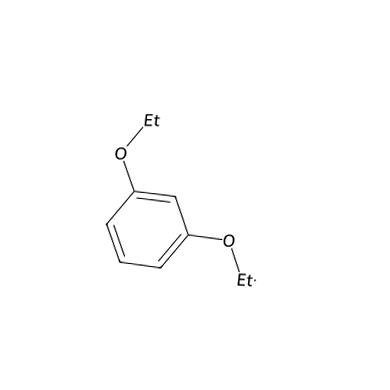 C[CH]Oc1cccc(OCC)c1